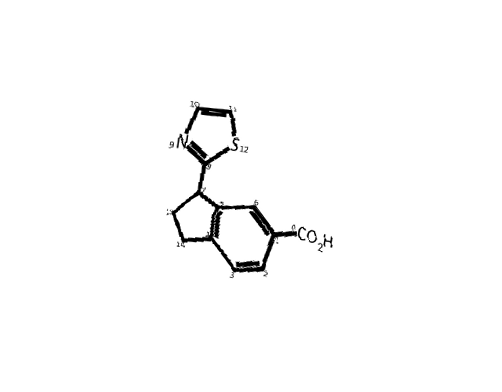 O=C(O)c1ccc2c(c1)C(c1nccs1)CC2